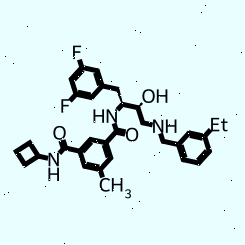 CCc1cccc(CNC[C@@H](O)[C@H](Cc2cc(F)cc(F)c2)NC(=O)c2cc(C)cc(C(=O)NC3CCC3)c2)c1